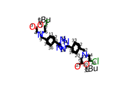 CC(C)(C)OC(=O)CN(CCF)Cc1ccc(-c2nnc(-c3ccc(CN(CCCl)CC(=O)OC(C)(C)C)cc3)nn2)cc1